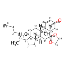 CC(C)CCC[C@@H](C)[C@H]1CC[C@H]2[C@@H]3CC4(OCCO4)[C@H]4CC(=O)C=C[C@]4(C)[C@H]3CC[C@]12C